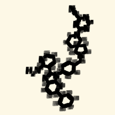 N#Cc1ncnc(N2CCCC3(CCN(Cc4ccc(-n5c(-c6cccnc6N)nc6ccc(-c7ccccc7)nc65)cc4)C3)C2)n1